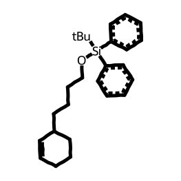 CC(C)(C)[Si](OCCCCC1C=CCCC1)(c1ccccc1)c1ccccc1